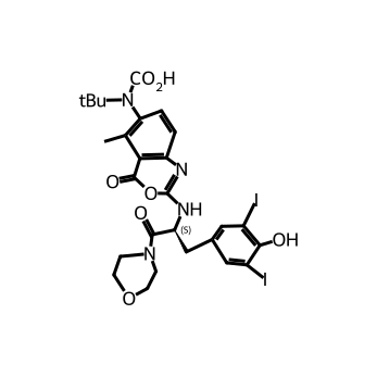 Cc1c(N(C(=O)O)C(C)(C)C)ccc2nc(N[C@@H](Cc3cc(I)c(O)c(I)c3)C(=O)N3CCOCC3)oc(=O)c12